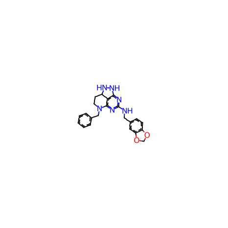 c1ccc(CN2CCC3NNc4nc(NCc5ccc6c(c5)OCO6)nc2c43)cc1